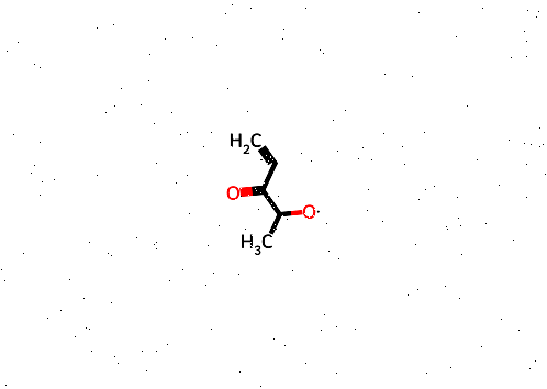 C=CC(=O)C(C)[O]